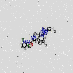 CC1=C(c2cc(C(=O)Nc3c(F)cccc3F)nn2C)CN(c2nnn(C)n2)CC1